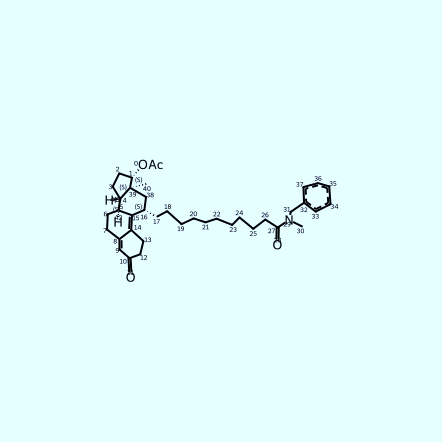 CC(=O)O[C@H]1CC[C@H]2[C@@H]3CCC4=CC(=O)CCC4=C3[C@@H](CCCCCCCCCCC(=O)N(C)Cc3ccccc3)C[C@]12C